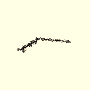 CC(C)SCC(CSC(C)C)=NOCC(=O)NCC(=O)NCC(=O)NCC(=O)NCCNC(=O)OCc1cn(CCOCCOCCOCCOCCOCCOCCOCCOCCOCCOCCOCCC(C)(C)C)nn1